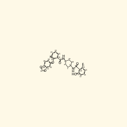 O=C(NC1CCC(NC(=O)c2c(O)cccc2F)CC1)c1cccnc1Oc1ccc2c(c1)OCO2